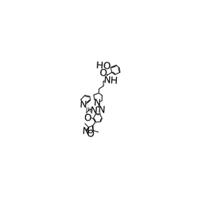 Cc1noc(C)c1-c1ccc2nc(N3CCC(CCCNC(=O)c4ccccc4O)CC3)n3c2c1OC[C@@H]3c1ccccn1